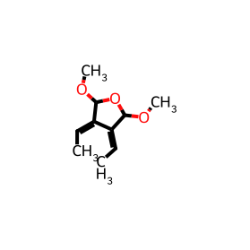 C/C=C1\C(=C/C)C(OC)OC1OC